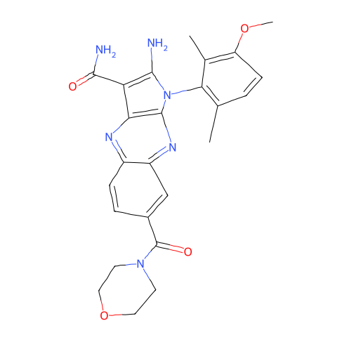 COc1ccc(C)c(-n2c(N)c(C(N)=O)c3nc4ccc(C(=O)N5CCOCC5)cc4nc32)c1C